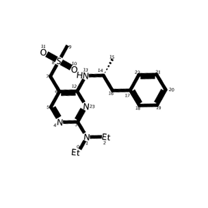 CCN(CC)c1ncc(CS(C)(=O)=O)c(N[C@H](C)Cc2ccccc2)n1